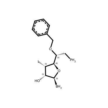 B[C@@H]1O[C@H]([C@@H](CP)OCc2ccccc2)[C@@H](I)[C@H]1O